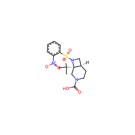 CC(C)(C)[C@@]12CN(C(=O)O)CC[C@@H]1CN2S(=O)(=O)c1ccccc1[N+](=O)[O-]